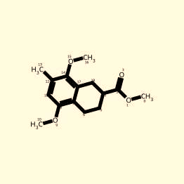 COC(=O)C1CCc2c(OC)cc(C)c(OC)c2C1